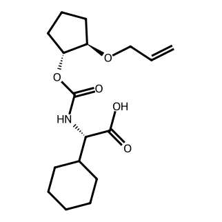 C=CCO[C@@H]1CCC[C@H]1OC(=O)N[C@H](C(=O)O)C1CCCCC1